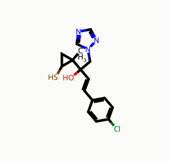 CC1(C(O)(C=Cc2ccc(Cl)cc2)Cn2cncn2)CC1S